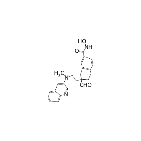 CN(CC[C@@]1(C=O)CCc2ccc(C(=O)NO)cc2C1)c1cnc2ccccc2c1